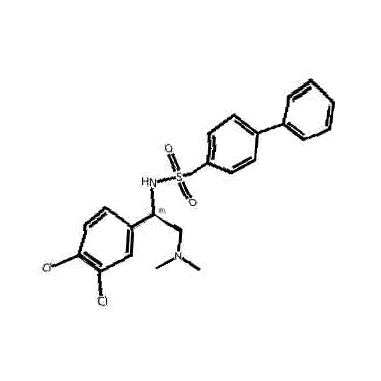 CN(C)C[C@H](NS(=O)(=O)c1ccc(-c2ccccc2)cc1)c1ccc(Cl)c(Cl)c1